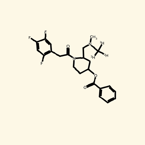 [2H]C([2H])([2H])N(C)CC1CC(OC(=O)c2ccccc2)CCN1C(=O)Cc1cc(F)c(F)cc1F